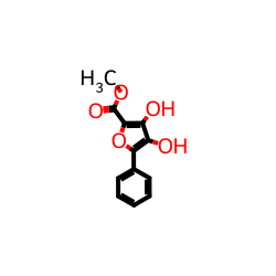 COC(=O)c1oc(-c2ccccc2)c(O)c1O